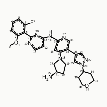 COc1cccc(F)c1-c1nccc(Nc2cc(N3CC[C@@H](N)C3)c(-c3cnn(C4CCOCC4)c3)cn2)n1